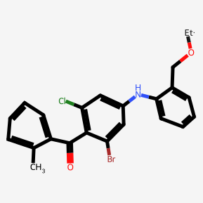 C[CH]OCc1ccccc1Nc1cc(Cl)c(C(=O)c2ccccc2C)c(Br)c1